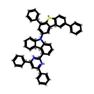 c1ccc(-c2ccc3sc4c(-c5ccccc5)cc(-n5c6ccccc6c6c(-c7nc(-c8ccccc8)cc(-c8ccccc8)n7)cccc65)cc4c3c2)cc1